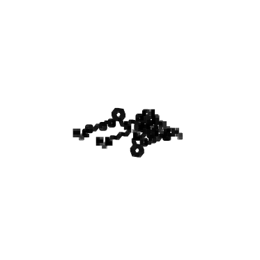 COCCOCOc1ccccc1CN(CC(=O)OC(C)(C)C)C[C@H](CCCCN)N(CC(=O)OC(C)(C)C)Cc1ccccc1OCOCCOC